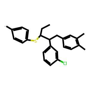 [CH2]c1ccc(SC(CC)C(Cc2ccc(C)c(C)c2)c2cccc(Cl)c2)cc1